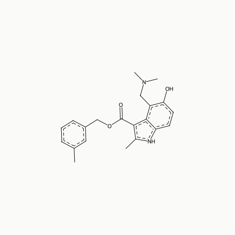 Cc1cccc(COC(=O)c2c(C)[nH]c3ccc(O)c(CN(C)C)c23)c1